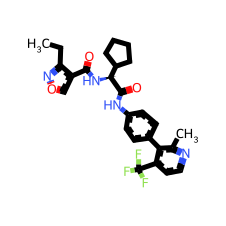 CCc1nocc1C(=O)N[C@H](C(=O)Nc1ccc(-c2c(C(F)(F)F)ccnc2C)cc1)C1CCCC1